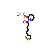 O=COC1CCCCN1C(=O)CCCCC1CCSS1